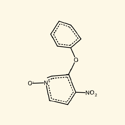 O=[N+]([O-])c1cc[n+]([O-])cc1Oc1ccccc1